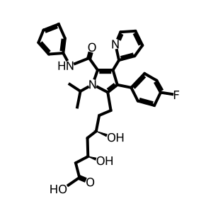 CC(C)n1c(CC[C@@H](O)C[C@@H](O)CC(=O)O)c(-c2ccc(F)cc2)c(-c2ccccn2)c1C(=O)Nc1ccccc1